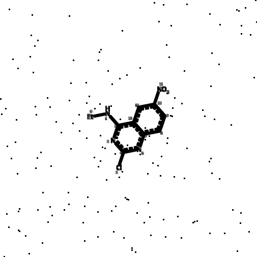 CCNc1nc(Cl)nc2ccc([N+](=O)[O-])cc12